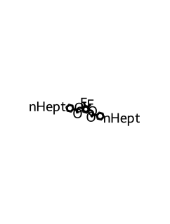 CCCCCCCC1CCC(C(=O)Oc2ccc(OC(=O)C3CCC(CCCCCCC)CC3)c(F)c2F)CC1